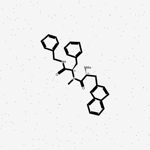 CN[C@H](Cc1ccc2ccccc2c1)C(=O)N(C)[C@H](Cc1ccccc1)C(=O)NCc1ccccc1